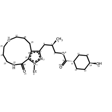 CCn1nc(C[C@@H](C)COC(=O)[C@H]2CC[C@H](O)CC2)c2c1C(=O)NCCCOCCC2